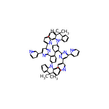 CC1(C)c2ccccc2N(c2ccc(-c3ccc(N4c5ccccc5C(C)(C)c5ccccc54)cc3-c3nc(-c4cccnc4)cc(-c4ccccn4)n3)c(-c3nc(-c4cccnc4)cc(-c4ccccn4)n3)c2)c2ccccc21